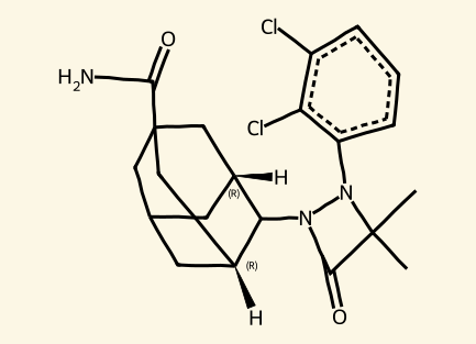 CC1(C)C(=O)N(C2[C@@H]3CC4C[C@@H]2CC(C(N)=O)(C4)C3)N1c1cccc(Cl)c1Cl